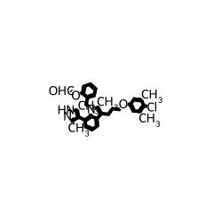 Cc1cc(OCCCc2c(C)n(Cc3ccccc3OC=O)c3c(-c4c(C)n[nH]c4C)cccc23)cc(C)c1Cl